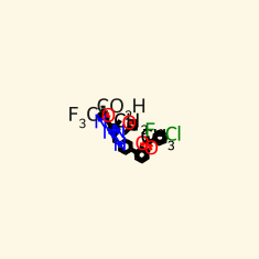 Cc1c(-c2nc(C(F)(F)F)c(C(=O)O)o2)nc(CN2CCC(c3cccc4c3OC(C)(c3ccc(Cl)cc3F)O4)CC2)n1CC1CCO1